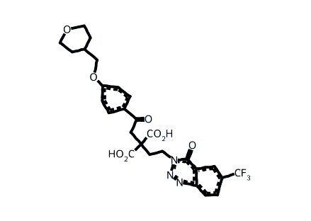 O=C(CC(CCn1nnc2ccc(C(F)(F)F)cc2c1=O)(C(=O)O)C(=O)O)c1ccc(OCC2CCOCC2)cc1